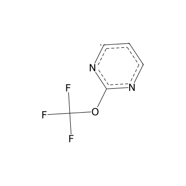 FC(F)(F)Oc1n[c]ccn1